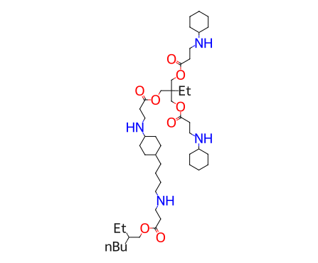 CCCCC(CC)COC(=O)CCNCCCCC1CCC(NCCC(=O)OCC(CC)(COC(=O)CCNC2CCCCC2)COC(=O)CCNC2CCCCC2)CC1